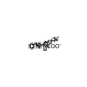 C[Si](C)(C)CCOCn1cc(-c2cnn(Cc3ccccc3)c2)nc1C(=O)[O-].[Li+]